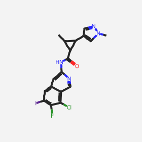 CC1C(C(=O)Nc2cc3cc(I)c(F)c(Cl)c3cn2)C1c1cnn(C)c1